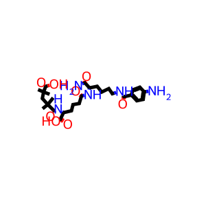 CC(C)(CC(C)(C)C(=O)NC(CCCC(=O)NC(CCCCNC(=O)c1ccc(N)cc1)C(N)=O)C(=O)O)C(=O)O